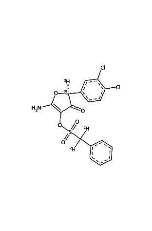 [2H]C([2H])(c1ccccc1)S(=O)(=O)OC1=C(N)O[C@@]([2H])(c2ccc(Cl)c(Cl)c2)C1=O